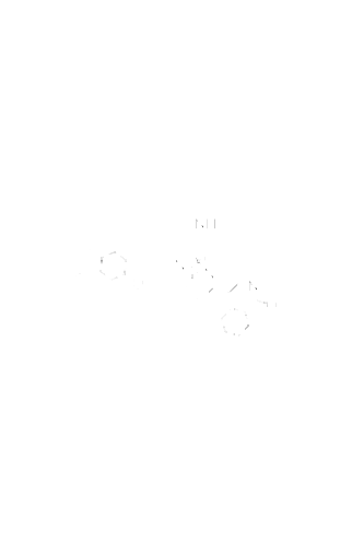 O=C(NS(=O)(=O)[N+]1(C2CCNCC2)CCC(Oc2ccc(Cl)c(Cl)c2)CC1)C1=C[N]C(=O)c2ccccc21